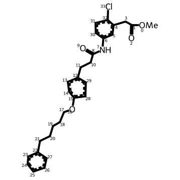 COC(=O)Cc1cc(NC(=O)CCc2ccc(OCCCCCc3ccccc3)cc2)ccc1Cl